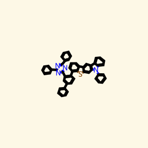 c1ccc(-c2ccc(-c3cccc4c3sc3cc5c(cc34)c3ccccc3n5-c3ccccc3)c(-c3nc(-c4ccccc4)nc(-c4ccccc4)n3)c2)cc1